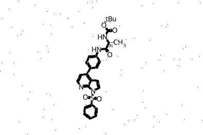 C[C@@H](NC(=O)OC(C)(C)C)C(=O)Nc1ccc(-c2ccnc3c2ccn3S(=O)(=O)c2ccccc2)cc1